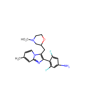 Cc1ccn2c(CC3CN(C(=O)O)CCO3)c(-c3c(F)cc(N)cc3F)nc2c1